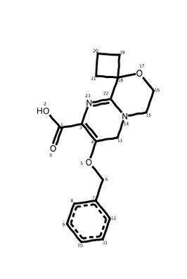 O=C(O)C1=C(OCc2ccccc2)CN2CCOC3(CCC3)C2=N1